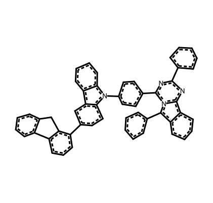 c1ccc(-c2nc(-c3ccc(-n4c5ccccc5c5cc(-c6cccc7c6Cc6ccccc6-7)ccc54)cc3)n3c(-c4ccccc4)c4ccccc4c3n2)cc1